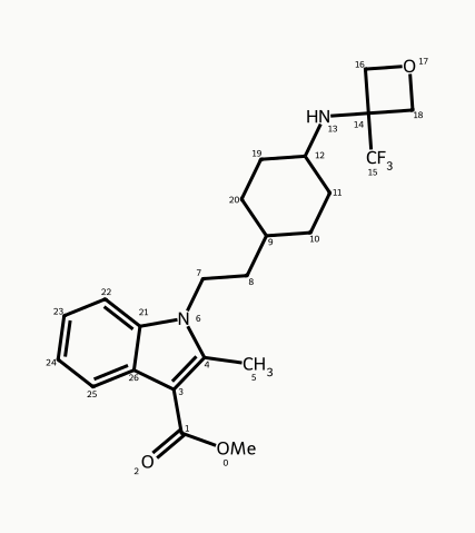 COC(=O)c1c(C)n(CCC2CCC(NC3(C(F)(F)F)COC3)CC2)c2ccccc12